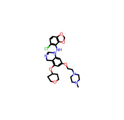 CN1CCN(CCOc2cc(OC3CCOCC3)c3c(c2)N(Nc2c(Cl)ccc4c2OCO4)C=NC3)CC1